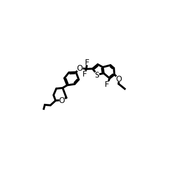 CCCC1CCC(c2ccc(OC(F)(F)c3cc4ccc(OCC)c(F)c4s3)cc2)CO1